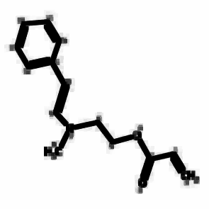 C=CC(=O)OCCN(C)C=Cc1ccccc1